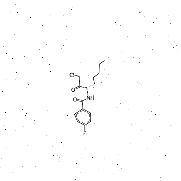 CCCCC[C@H](NC(=O)c1ccc(F)cc1)C(=O)CCl